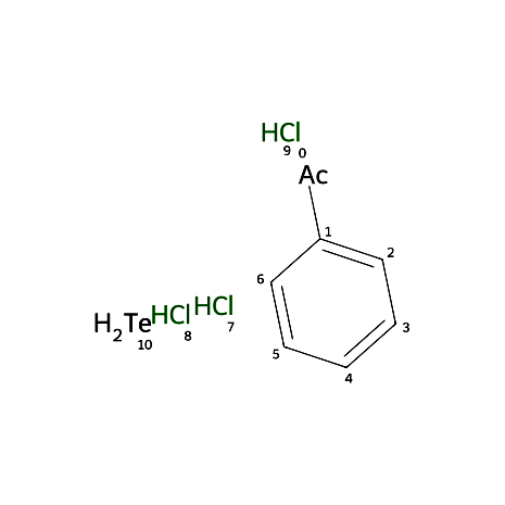 CC(=O)c1ccccc1.Cl.Cl.Cl.[TeH2]